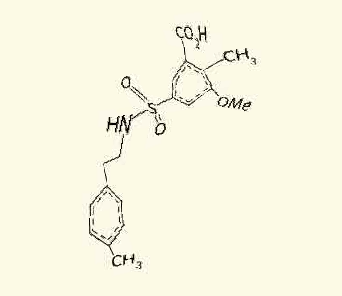 COc1cc(S(=O)(=O)NCCc2ccc(C)cc2)cc(C(=O)O)c1C